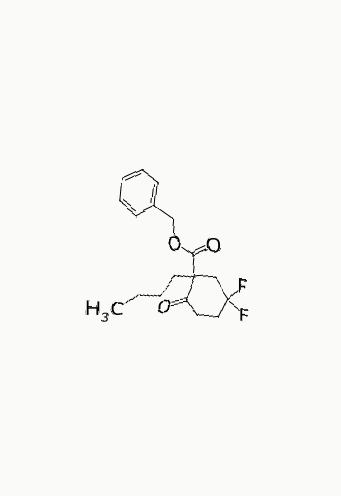 CCCCC1(C(=O)OCc2ccccc2)CC(F)(F)CCC1=O